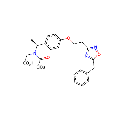 CC(C)COC(=O)N(CC(=O)O)[C@@H](C)c1ccc(OCCc2noc(Cc3ccccc3)n2)cc1